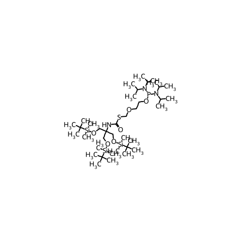 CC(C)N(C(C)C)P(OCCOCSC(=O)NC(CO[Si](C)(C)C(C)(C)C)(CO[Si](C)(C)C(C)(C)C)CO[Si](C)(C)C(C)(C)C)N(C(C)C)C(C)C